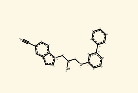 N#Cc1ccc2c(ccn2CC(O)COc2cccc(-c3ccccc3)c2)c1